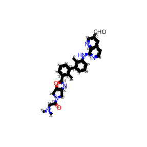 Cc1c(Nc2nccc3cc(C=O)cnc23)cccc1-c1cccc(-c2nc3c(o2)CN(C(=O)CN(C)C)C3)c1C